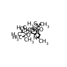 C=C(O[Si](C(C)C)(C(C)C)C(C)C)c1nc(C)cn1S(=O)(=O)N(C)C